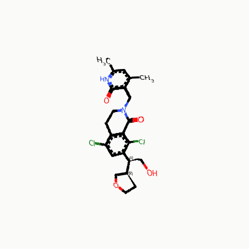 Cc1cc(C)c(CN2CCc3c(Cl)cc([C@@H](CO)[C@H]4CCOC4)c(Cl)c3C2=O)c(=O)[nH]1